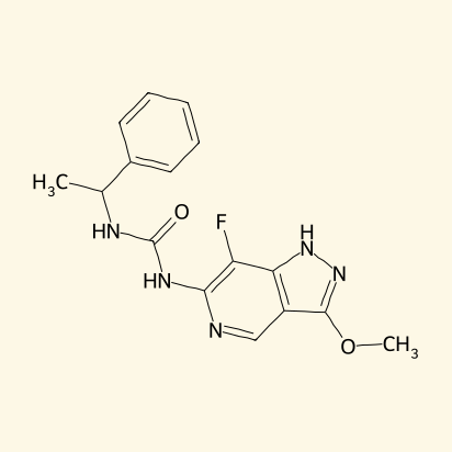 COc1n[nH]c2c(F)c(NC(=O)NC(C)c3ccccc3)ncc12